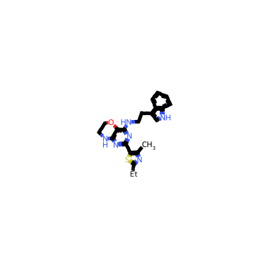 CCc1nc(C)c(-c2nc3c(c(NCCc4c[nH]c5ccccc45)n2)OCCN3)s1